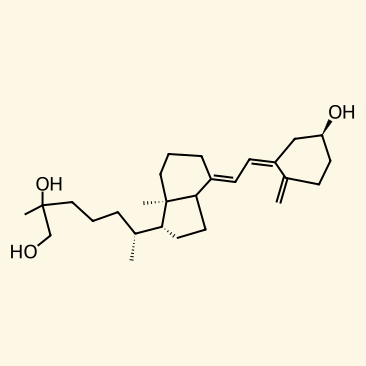 C=C1CC[C@H](O)C/C1=C/C=C1CCC[C@@]2(C)C1CC[C@@H]2[C@H](C)CCCC(C)(O)CO